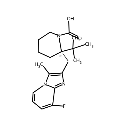 Cc1c(C[C@]2(C(C)(C)C)CCCCN2C(=O)O)nc2c(F)cccn12